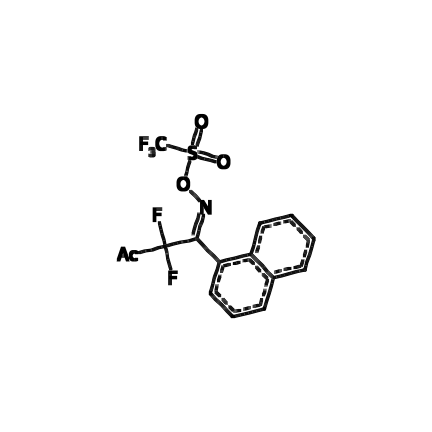 CC(=O)C(F)(F)C(=NOS(=O)(=O)C(F)(F)F)c1cccc2ccccc12